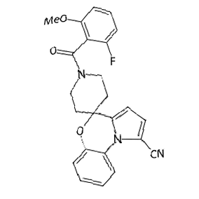 COc1cccc(F)c1C(=O)N1CCC2(CC1)Oc1ccccc1-n1c(C#N)ccc12